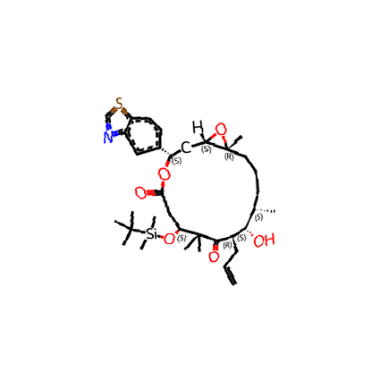 C=CC[C@H]1C(=O)C(C)(C)[C@@H](O[Si](C)(C)C(C)(C)C)CC(=O)O[C@H](c2ccc3scnc3c2)C[C@@H]2O[C@]2(C)CCC[C@H](C)[C@@H]1O